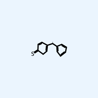 S=C1C=CC([CH]c2ccccc2)=CC1